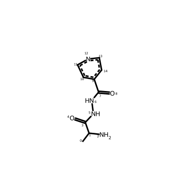 CC(N)C(=O)NNC(=O)c1ccncc1